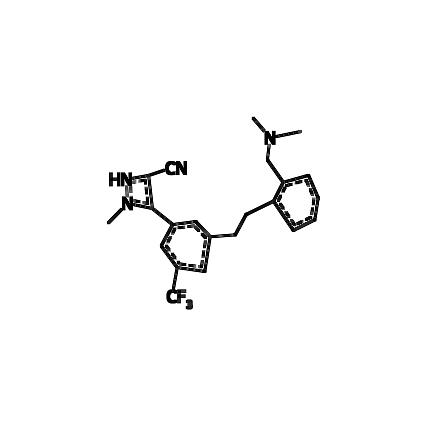 CN(C)Cc1ccccc1CCc1cc(-c2c(C#N)[nH]n2C)cc(C(F)(F)F)c1